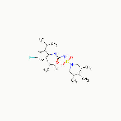 CC(C)c1cc(F)cc(C(C)C)c1NC(=O)NS(=O)(=O)N1CC(C)C(C)C(C)C1